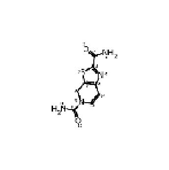 NC(=O)c1nc2c(s1)CN(C(N)=O)C=C2